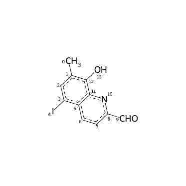 Cc1cc(I)c2ccc(C=O)nc2c1O